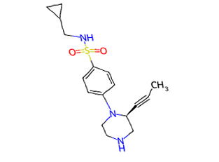 CC#C[C@H]1CNCCN1c1ccc(S(=O)(=O)NCC2CC2)cc1